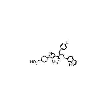 O=C(O)C1CCC(n2ncc(C(=O)N(CCc3ccc4cc[nH]c4c3)Cc3ccc(Cl)cc3)c2C(F)(F)F)CC1